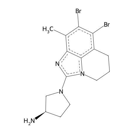 Cc1c(Br)c(Br)c2c3c1nc(N1CC[C@@H](N)C1)n3CCC2